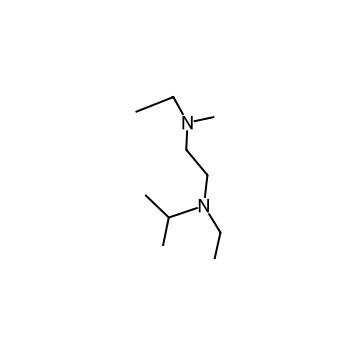 CCN(C)CCN(CC)C(C)C